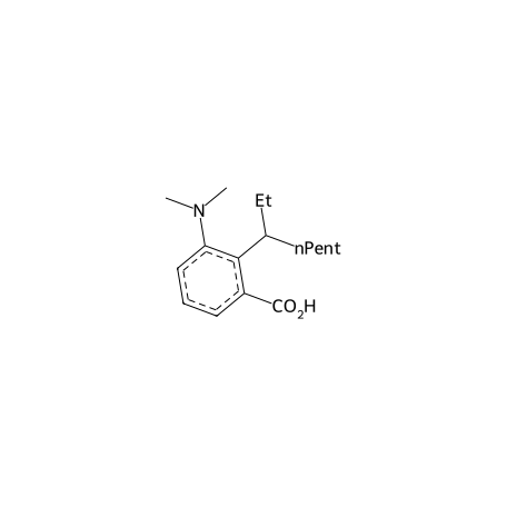 CCCCCC(CC)c1c(C(=O)O)cccc1N(C)C